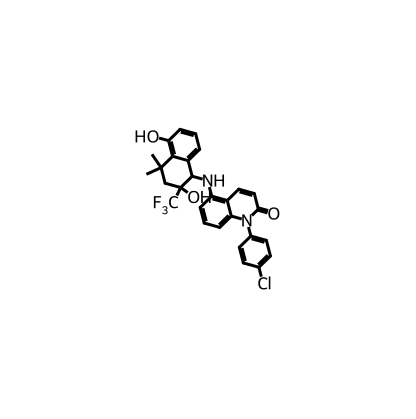 CC1(C)CC(O)(C(F)(F)F)C(Nc2cccc3c2ccc(=O)n3-c2ccc(Cl)cc2)c2cccc(O)c21